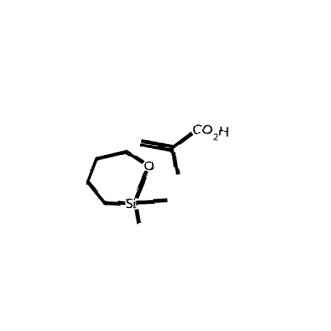 C=C(C)C(=O)O.C[Si]1(C)CCCCO1